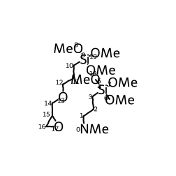 CNCCC[Si](OC)(OC)OC.CO[Si](CCCOCC1CO1)(OC)OC